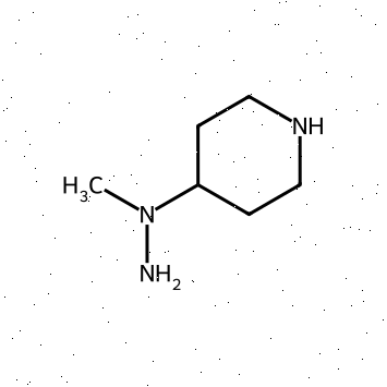 CN(N)C1CCNCC1